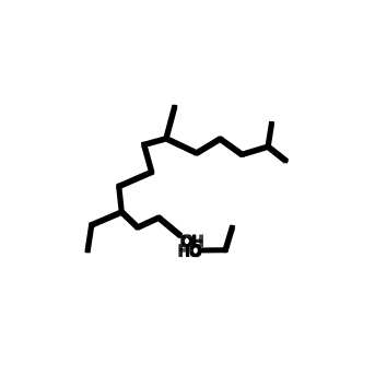 CCC(CCO)CCCC(C)CCCC(C)C.CCO